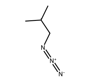 C[C](C)CN=[N+]=[N-]